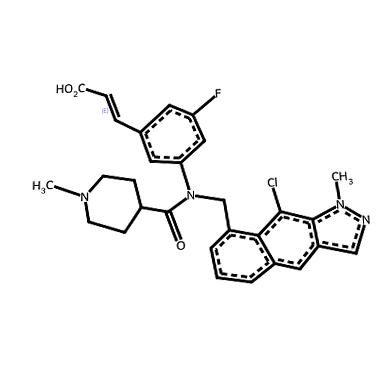 CN1CCC(C(=O)N(Cc2cccc3cc4cnn(C)c4c(Cl)c23)c2cc(F)cc(/C=C/C(=O)O)c2)CC1